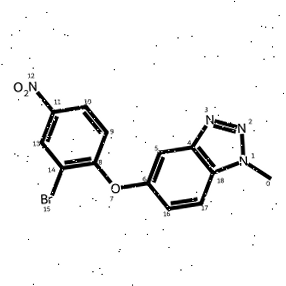 Cn1nnc2cc(Oc3ccc([N+](=O)[O-])cc3Br)ccc21